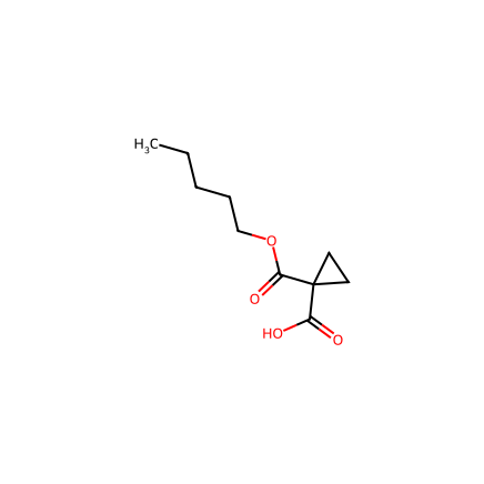 CCCCCOC(=O)C1(C(=O)O)CC1